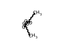 CCCCCCCC(=O)C(=O)OC(=O)C(=O)CCCCCCC